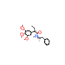 CC[C@@H](C(=O)N(C)[C@@H](C)Cc1ccccc1)c1cc(OC)c(OC)c(OC)c1